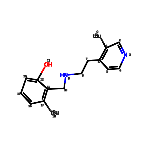 CC(C)(C)c1cnccc1CCNCc1c(O)cccc1C(C)(C)C